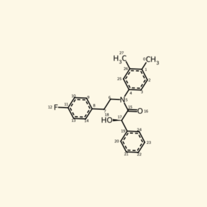 Cc1ccc(N(CCc2ccc(F)cc2)C(=O)[C@H](O)c2ccccc2)cc1C